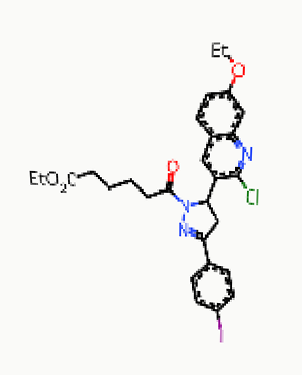 CCOC(=O)CCCCC(=O)N1N=C(c2ccc(I)cc2)CC1c1cc2ccc(OCC)cc2nc1Cl